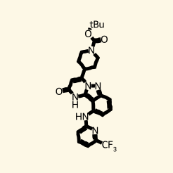 CC(C)(C)OC(=O)N1CCC(c2cc(=O)[nH]c3c4c(Nc5cccc(C(F)(F)F)n5)cccc4nn23)CC1